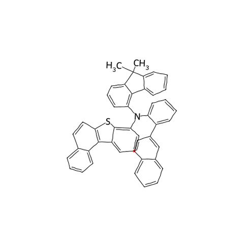 CC1(C)c2ccccc2-c2c(N(c3ccccc3-c3ccc4ccccc4c3)c3cccc4c3sc3ccc5ccccc5c34)cccc21